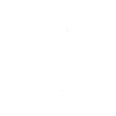 CN1CCC[C@@H]1c1cc2cnc(NC(=O)c3ccc(CCCc4ccc(-c5cccc6c5CN(C5CCC(=O)NC5=O)C6=O)cc4)cc3)cc2[nH]1